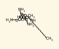 CCCCCCCCCCCCCCCCCCNCCCC(C)C1CC[C@H]2[C@@H]3[C@H](OCCCN)C[C@@H]4C[C@H](OCCCN)CC[C@]4(C)[C@H]3C[C@H](OCCCN)[C@]12C